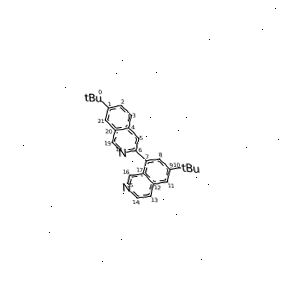 CC(C)(C)c1ccc2cc(-c3cc(C(C)(C)C)cc4ccncc34)ncc2c1